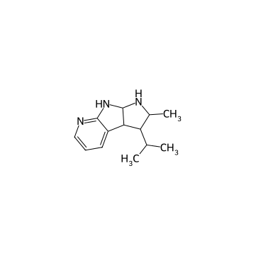 CC(C)C1C(C)NC2Nc3ncccc3C21